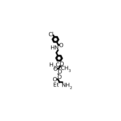 CCC(CN)C(=O)OCOC(=O)C(C)(C)Oc1ccc(CCNC(=O)c2ccc(Cl)cc2)cc1